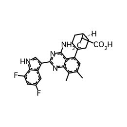 Cc1cc(C23CCC(CC2)[C@@H](C(=O)O)C3)c2c(N)nc(-c3c[nH]c4c(F)cc(F)cc34)nc2c1C